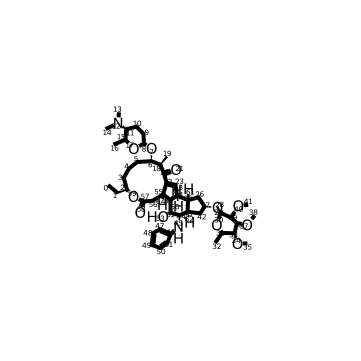 CC[C@H]1CCC[C@H](OC2CC[C@H](N(C)C)C(C)O2)[C@@H](C)C(=O)C2=C[C@H]3[C@@H]4C[C@H](O[C@@H]5OC(C)[C@H](OC)C(OC)C5OC)C[C@H]4[C@H](Nc4ccccc4)[C@@H](O)[C@H]3[C@@H]2CC(=O)O1